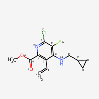 C=Cc1c(C(=O)OC)nc(Cl)c(F)c1NCC1CC1